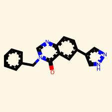 O=c1c2cc(-c3cn[nH]c3)ccc2ncn1Cc1ccccc1